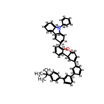 CC(C)(C)c1ccc(-c2cccc(-c3cccc(-c4ccc5oc6c(-c7ccc8c(c7)c7ccccc7n8-c7ccccc7)cccc6c5c4)c3)c2)cc1